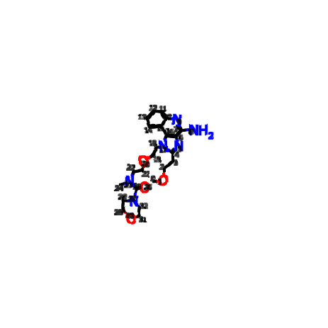 COCCc1nc2c(N)nc3ccccc3c2n1CCOCCN(C)C(=O)N1CCOCC1